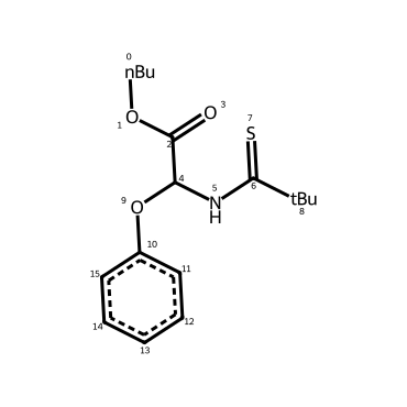 CCCCOC(=O)C(NC(=S)C(C)(C)C)Oc1ccccc1